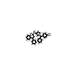 CN(C(=O)CC(c1ccccc1)c1ccccc1)[C@@H]1CCN(C(c2ccccc2)c2ccc(Cl)cc2)C1